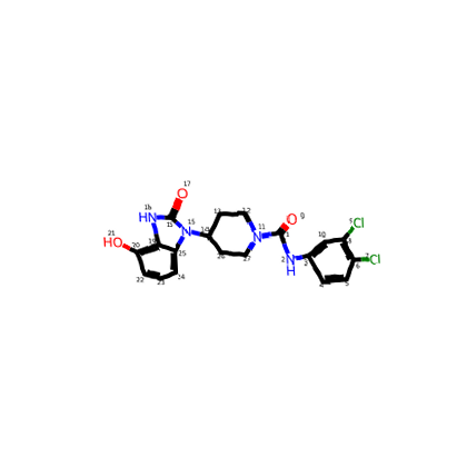 O=C(Nc1ccc(Cl)c(Cl)c1)N1CCC(n2c(=O)[nH]c3c(O)cccc32)CC1